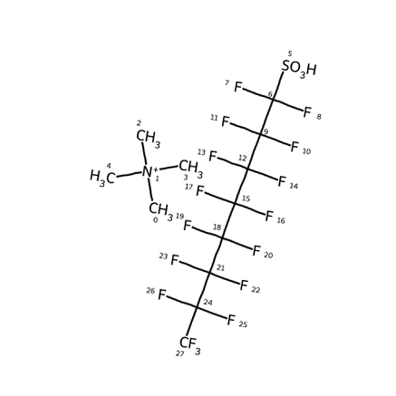 C[N+](C)(C)C.O=S(=O)(O)C(F)(F)C(F)(F)C(F)(F)C(F)(F)C(F)(F)C(F)(F)C(F)(F)C(F)(F)F